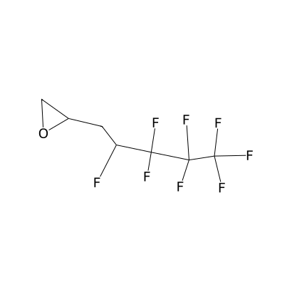 FC(CC1CO1)C(F)(F)C(F)(F)C(F)(F)F